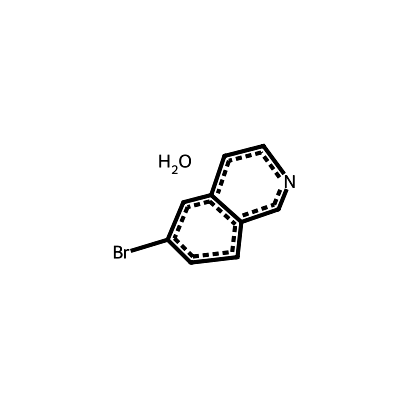 Brc1ccc2cnccc2c1.O